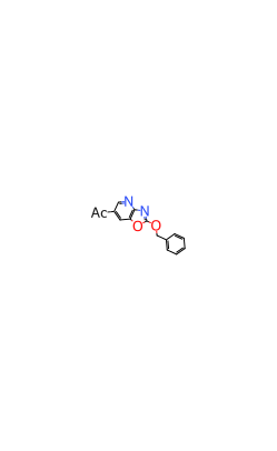 CC(=O)c1cnc2nc(OCc3ccccc3)oc2c1